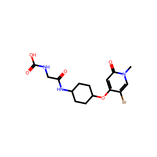 Cn1cc(Br)c(OC2CCC(NC(=O)CNC(=O)O)CC2)cc1=O